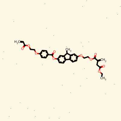 C=CC(=O)OCCOc1ccc(C(=O)Oc2ccc3c(c2)C(C)c2cc(OCCOC(=O)C(=C)CC(=O)OCC)ccc2-3)cc1